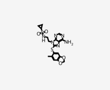 Cc1cc2c(cc1Sc1nc3c(N)ncnc3n1CCNS(=O)(=O)C1CC1)OCO2